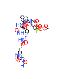 C/C(=C\C(=O)N[C@H]1CCc2cccc3c2N(C1=O)[C@H](C(=O)N[C@@H](CCC(N)=O)[C@@H](C)OCc1ccc(CCCNC(=O)COCCCc2ccc4c(c2)n(C)c(=O)n4C2CCC(=O)NC2=O)cc1)C3)c1ccc(C(F)(F)P(=O)(OCOC(=O)C(C)(C)C)OCOC(=O)C(C)(C)C)cc1